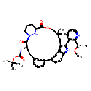 CO[C@@H](C)c1ncccc1-c1[nH]c2ccc3cc2c1CC(C)(C)COC(=O)[C@@H]1CCCN(N1)C(=O)[C@@H](NC(=O)OC(C)(C)C)Cc1cccc-3c1